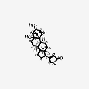 COC(=O)[C@]12CC[C@H](O)C[C@@]1(O)CC[C@@H]1[C@@H]2CC[C@]2(C)[C@@H](C3=CC(=O)OC3)CC[C@]12O